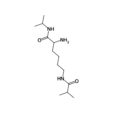 CC(C)NC(=O)C(N)CCCCNC(=O)C(C)C